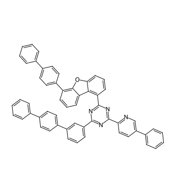 c1ccc(-c2ccc(-c3cccc(-c4nc(-c5ccc(-c6ccccc6)cn5)nc(-c5cccc6oc7c(-c8ccc(-c9ccccc9)cc8)cccc7c56)n4)c3)cc2)cc1